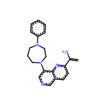 C=C(N)c1ccc2cncc(N3CCCN(c4ccccc4)CC3)c2n1